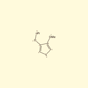 CCCOc1cscc1OC